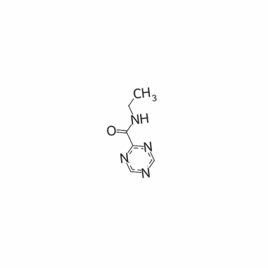 CCNC(=O)c1ncncn1